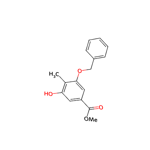 COC(=O)c1cc(O)c(C)c(OCc2ccccc2)c1